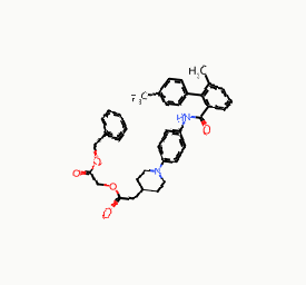 Cc1cccc(C(=O)Nc2ccc(N3CCC(CC(=O)OCC(=O)OCc4ccccc4)CC3)cc2)c1-c1ccc(C(F)(F)F)cc1